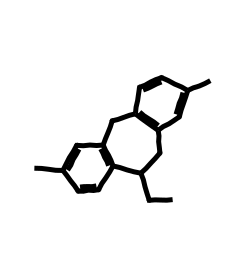 CCC1Cc2cc(C)ccc2Cc2cc(C)ccc21